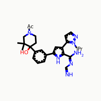 CC(=O)N1CCC(O)(c2cccc(-c3cc(-c4ccnn4C(C)C)c(/C(N)=N\C=N)[nH]3)c2)C(C)(C)C1